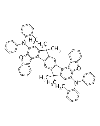 Cc1ccccc1N(c1ccccc1)c1cc2c(c3c1oc1ccccc13)-c1cc3c(cc1C2(C)C)-c1c(cc(N(c2ccccc2)c2ccccc2C)c2oc4ccccc4c12)C3(C)C